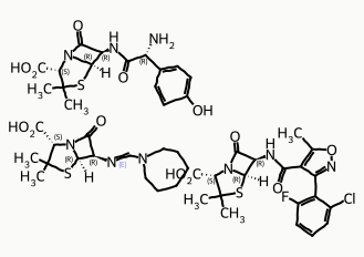 CC1(C)S[C@@H]2[C@H](/N=C/N3CCCCCC3)C(=O)N2[C@H]1C(=O)O.CC1(C)S[C@@H]2[C@H](NC(=O)[C@H](N)c3ccc(O)cc3)C(=O)N2[C@H]1C(=O)O.Cc1onc(-c2c(F)cccc2Cl)c1C(=O)N[C@@H]1C(=O)N2[C@@H]1SC(C)(C)[C@@H]2C(=O)O